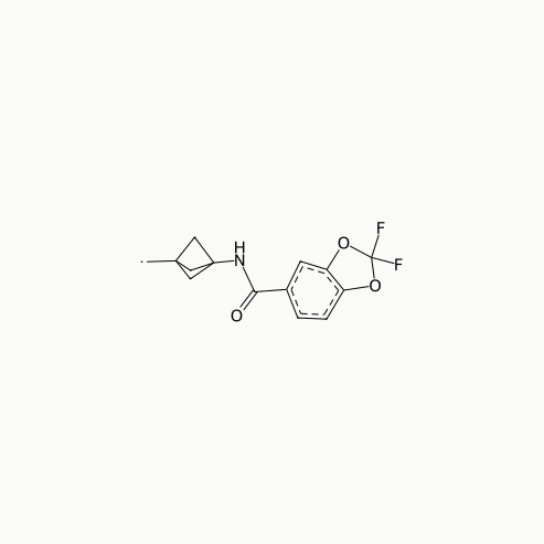 [CH2]C12CC(NC(=O)c3ccc4c(c3)OC(F)(F)O4)(C1)C2